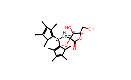 CC1=C(C)C(C)[C]([Zr]([GeH2][C@@]2(O)C(=O)O[C@H](CO)[C@@H]2O)[C]2=C(C)C(C)=C(C)C2C)=C1C